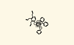 C=CCc1ccc(OP2(Oc3ccccc3)=NP(Oc3ccccc3)N2Oc2ccccc2)c(CC=C)c1CC=C